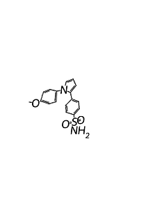 COc1ccc(-n2cccc2-c2ccc(S(N)(=O)=O)cc2)cc1